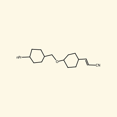 CCCC1CCC(COC2CCC(C=CC#N)CC2)CC1